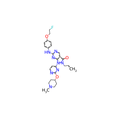 C=CCn1c(=O)c2cnc(Nc3ccc(OCCF)cc3)nc2n1-c1ccnc(OC2CCN(C)CC2)n1